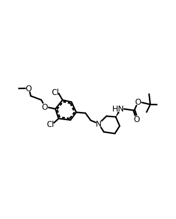 COCCOc1c(Cl)cc(CCN2CCC[C@H](NC(=O)OC(C)(C)C)C2)cc1Cl